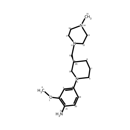 COc1cc(N2CCC[C@H](CN3CCN(C)CC3)C2)ccc1N